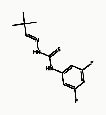 CC(C)(C)/C=N/NC(=S)Nc1cc(F)cc(F)c1